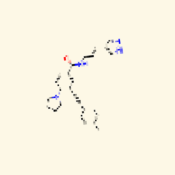 Cc1ccc(C#Cc2cc(C(=O)NC/C=C/c3cn[nH]c3)ccc2N2CCCC2)cc1